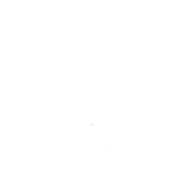 CC(=O)OCCOc1ccc(COC(C)=O)nc1